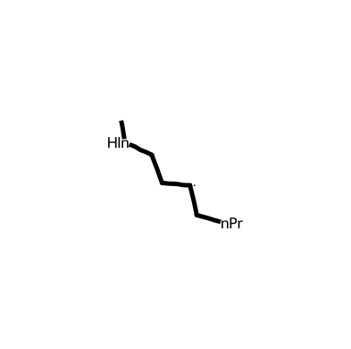 CCCC[CH]C[CH2][InH][CH3]